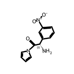 N[C@H](C(=O)n1cccc1)c1cccc([N+](=O)[O-])c1